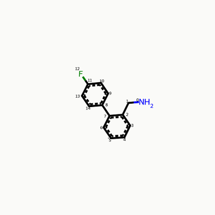 NCc1cc[c]cc1-c1ccc(F)cc1